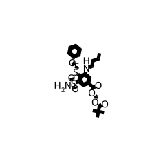 CCCCNc1cc(C(=O)OCOC(=O)C(C)(C)C)cc(S(N)(=O)=O)c1SSOc1ccccc1